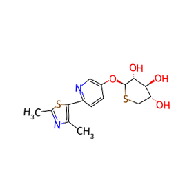 Cc1nc(C)c(-c2ccc(O[C@@H]3SC[C@@H](O)[C@H](O)[C@H]3O)cn2)s1